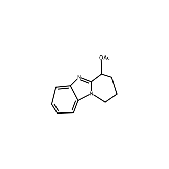 CC(=O)OC1CCCn2c1nc1ccccc12